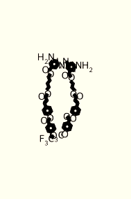 Nc1cc(N)cc(C(=O)OCCCCCOC(=O)C=Cc2ccc(OC(=O)c3ccc(OC(F)(F)F)cc3)cc2)c1.Nc1cc(N)cc(C(=O)OCCCCOC(=O)C=Cc2ccc(OC(=O)c3ccc(OC(F)(F)F)cc3)cc2)c1